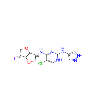 Cn1cc(NC2N=C(N[C@@H]3COC4C3OC[C@H]4I)C(Cl)=CN2)cn1